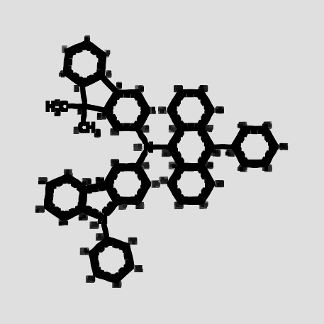 CC1(C)c2ccccc2-c2ccc(N(c3ccc4c(c3)c3ccccc3n4-c3ccccc3)c3c4ccccc4c(-c4ccccc4)c4ccccc34)cc21